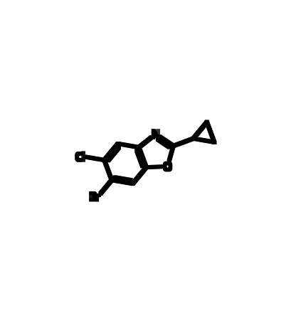 Clc1cc2nc(C3CC3)oc2cc1Br